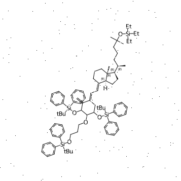 C=C1C(=CC=C2CCC[C@]3(C)[C@@H]([C@H](C)CCCC(C)(C)O[Si](CC)(CC)CC)CC[C@@H]23)CC(O[Si](c2ccccc2)(c2ccccc2)C(C)(C)C)C(OCCCO[Si](c2ccccc2)(c2ccccc2)C(C)(C)C)C1O[Si](c1ccccc1)(c1ccccc1)C(C)(C)C